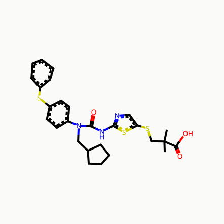 CC(C)(CSc1cnc(NC(=O)N(CC2CCCC2)c2ccc(Sc3ccccc3)cc2)s1)C(=O)O